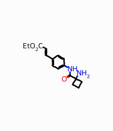 CCOC(=O)C=Cc1ccc(NC(=O)C2(N)CCC2)cc1